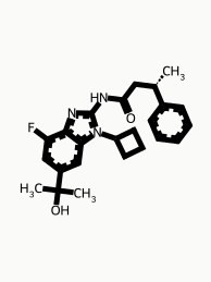 C[C@@H](CC(=O)Nc1nc2c(F)cc(C(C)(C)O)cc2n1C1CCC1)c1ccccc1